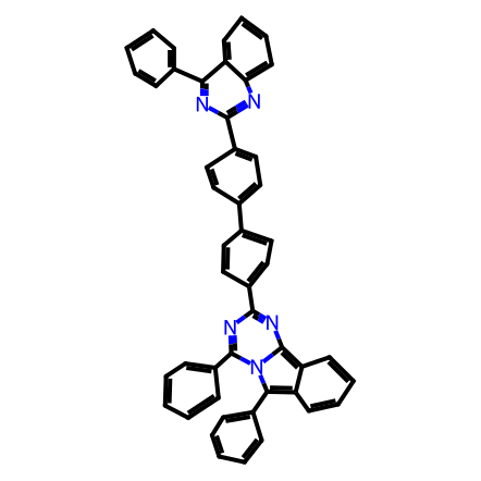 c1ccc(-c2nc(-c3ccc(-c4ccc(-c5nc(-c6ccccc6)n6c(-c7ccccc7)c7ccccc7c6n5)cc4)cc3)nc3ccccc23)cc1